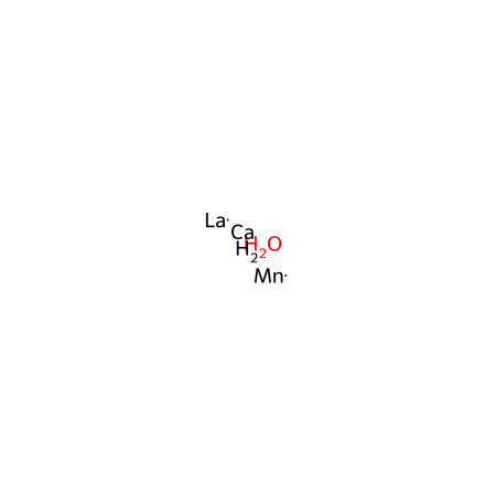 O.[CaH2].[La].[Mn]